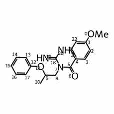 COc1ccc(C(=O)N(CC(C)Oc2ccccc2)C(=N)N)cc1